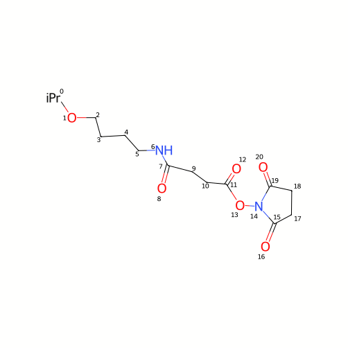 CC(C)OCCCCNC(=O)CCC(=O)ON1C(=O)CCC1=O